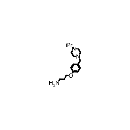 CC(C)N1CCN(Cc2ccc(OCCCN)cc2)CC1